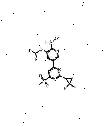 CS(=O)(=O)c1cc(-c2cnc([NH2+][O-])c(OC(F)F)c2)nc(C2CC2(F)F)n1